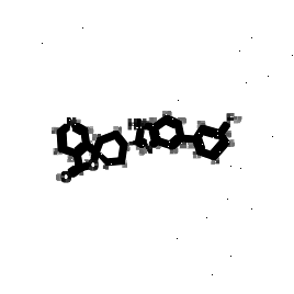 O=C1O[C@]2(CC[C@@H](c3nc4cc(-c5cccc(F)c5)ccc4[nH]3)CC2)c2cnccc21